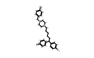 Fc1ccc(C(CCCCCN2CCN(Cc3ccc(Br)cc3)CC2)c2ccc(F)cc2)cc1